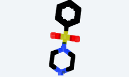 O=S(=O)(c1ccccc1)N1CC[N]CC1